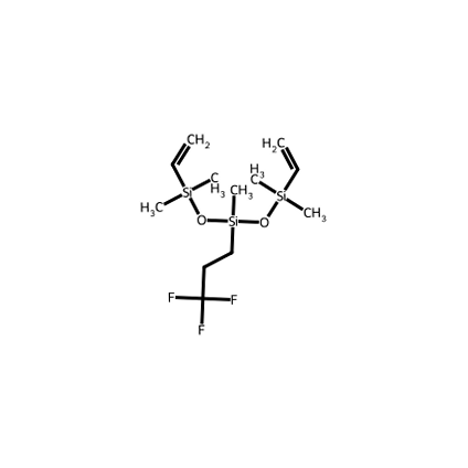 C=C[Si](C)(C)O[Si](C)(CCC(F)(F)F)O[Si](C)(C)C=C